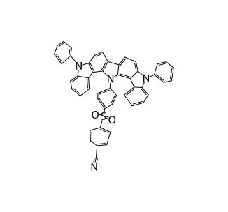 N#Cc1ccc(S(=O)(=O)c2ccc(-n3c4c(ccc5c4c4ccccc4n5-c4ccccc4)c4ccc5c(c6ccccc6n5-c5ccccc5)c43)cc2)cc1